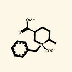 COC(=O)[C@H]1CCC(C)[N@@+](Cc2ccccc2)(C(=O)[O-])C1